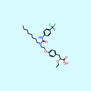 CCCCCCCCN(CCOc1ccc(CC(OCC)C(=O)O)cc1)C(=O)Nc1ccc(C(F)(F)F)cc1